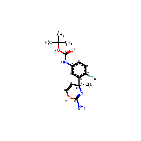 CC(C)(C)OC(=O)Nc1ccc(F)c([C@]2(C)C=COC(N)=N2)c1